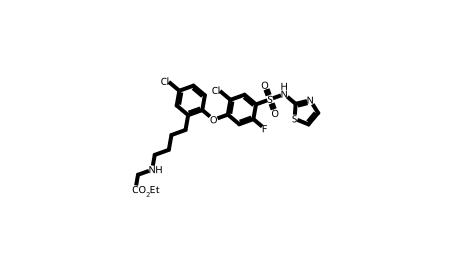 CCOC(=O)CNCCCCc1cc(Cl)ccc1Oc1cc(F)c(S(=O)(=O)Nc2nccs2)cc1Cl